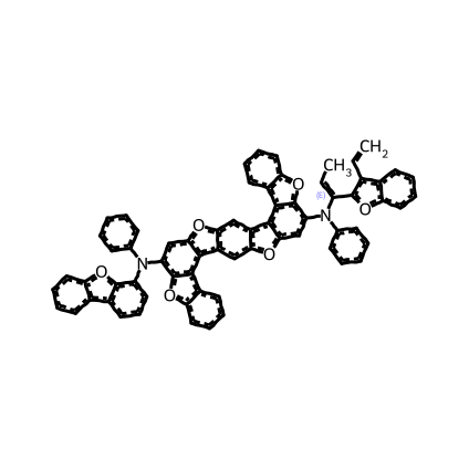 C=Cc1c(/C(=C\C)N(c2ccccc2)c2cc3oc4cc5c(cc4c3c3c2oc2ccccc23)oc2cc(N(c3ccccc3)c3cccc4c3oc3ccccc34)c3oc4ccccc4c3c25)oc2ccccc12